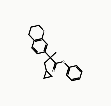 CC(CC1CC1)(C(=O)Oc1ccccc1)c1ccc2c(c1)OCCC2